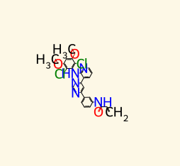 C=CC(=O)Nc1cccc(-c2cc(-c3cccnc3Nc3c(Cl)c(OC)cc(OC)c3Cl)ncn2)c1